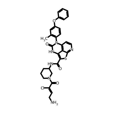 Cc1cc(Oc2ccccc2)ccc1N1C(=O)Nc2c(C(=O)NC3CCCN(C(=O)C(Cl)=CCN)C3)sc3nccc1c23